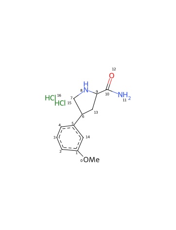 COc1cccc(C2CNC(C(N)=O)C2)c1.Cl.Cl